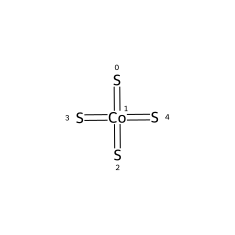 [S]=[Co](=[S])(=[S])=[S]